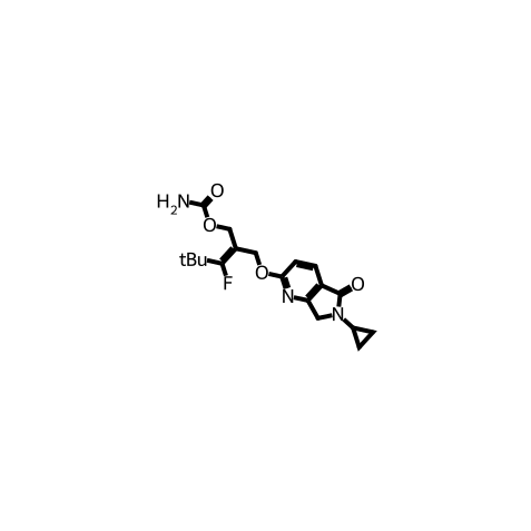 CC(C)(C)C(F)=C(COC(N)=O)COc1ccc2c(n1)CN(C1CC1)C2=O